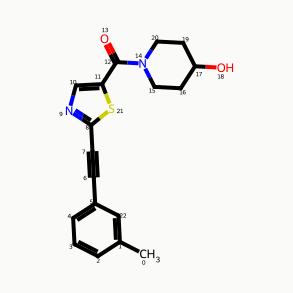 Cc1cccc(C#Cc2ncc(C(=O)N3CCC(O)CC3)s2)c1